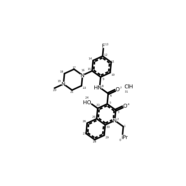 CC(C)Cn1c(=O)c(C(=O)Nc2ccc(F)cc2N2CCN(C)CC2)c(O)c2ccccc21.Cl